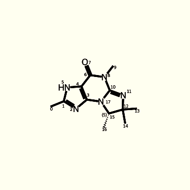 Cc1nc2c([nH]1)C(=O)N(C)C1=NC(C)(C)[C@H](C)N12